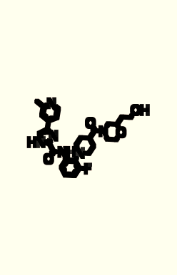 Cc1cc(-c2c[nH]c(C(=O)Nc3cccc(F)c3N3CCC(C(=O)N4CCOC(CCO)C4)CC3)n2)ccn1